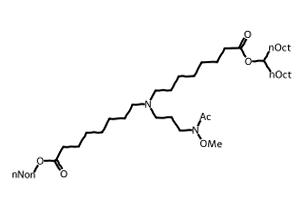 CCCCCCCCCOC(=O)CCCCCCCN(CCCCCCCC(=O)OC(CCCCCCCC)CCCCCCCC)CCCN(OC)C(C)=O